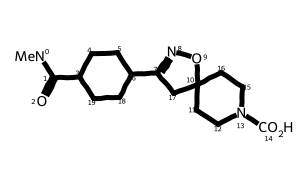 CNC(=O)C1CCC(C2=NOC3(CCN(C(=O)O)CC3)C2)CC1